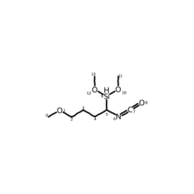 COCCCC(N=C=O)[SiH](OC)OC